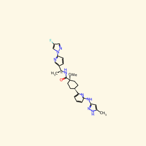 CO[C@]1(C(=O)N[C@@H](C)c2ccc(-n3cc(F)cn3)nc2)CC[C@H](c2cccc(Nc3cc(C)[nH]n3)n2)CC1